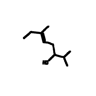 CCC(C)=CCC(O)C(C)C